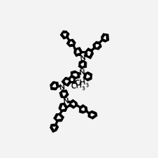 CC1(C)c2cc(N(c3ccccc3)c3ccc(-n4c5ccc(-c6ccc(-c7ccccc7)cc6)cc5c5cc(-c6ccc(-c7ccccc7)cc6)ccc54)cc3)ccc2-c2ccc(N(c3ccccc3)c3ccc(-n4c5ccc(-c6ccc(-c7ccccc7)cc6)cc5c5cc(-c6ccc(-c7ccccc7)cc6)ccc54)cc3)cc21